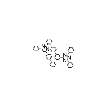 c1ccc(-c2cc(-c3ccc(-c4ccccc4)c(-c4ccc(-c5nc(-c6ccccc6)nc(-c6ccccc6)n5)cc4-c4ccccc4)c3)nc(-c3ccccc3)n2)cc1